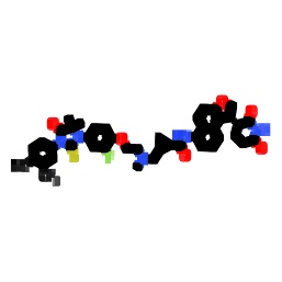 CN(CCOc1ccc(N2C(=S)N(c3ccc(C#N)c(C(F)(F)F)c3)C(=O)C2(C)C)cc1F)CC1CC1C(=O)Nc1cccc2c1ccc1occ([C@H]3CCC(=O)NC3=O)c12